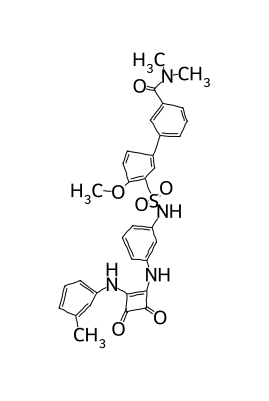 COc1ccc(-c2cccc(C(=O)N(C)C)c2)cc1S(=O)(=O)Nc1cccc(Nc2c(Nc3cccc(C)c3)c(=O)c2=O)c1